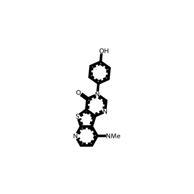 CNc1ccnc2sc3c(=O)n(-c4ccc(O)cc4)cnc3c12